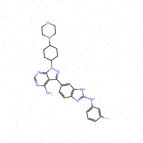 Nc1ncnc2c1c(-c1ccc3nc(Nc4cccc(F)c4)[nH]c3c1)nn2C1CCC(N2CCOCC2)CC1